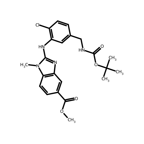 COC(=O)c1ccc2c(c1)nc(Nc1cc(CNC(=O)OC(C)(C)C)ccc1Cl)n2C